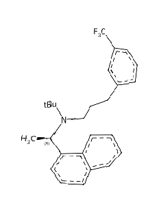 C[C@H](c1cccc2ccccc12)N(CCCc1cccc(C(F)(F)F)c1)C(C)(C)C